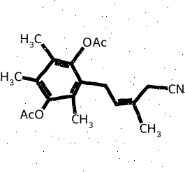 CC(=O)Oc1c(C)c(C)c(OC(C)=O)c(C/C=C(/C)CC#N)c1C